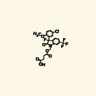 COc1ccc(Cl)cc1C1(F)C(=O)N(COC(=O)CCC(=O)O)c2cc(C(F)(F)F)ccc21